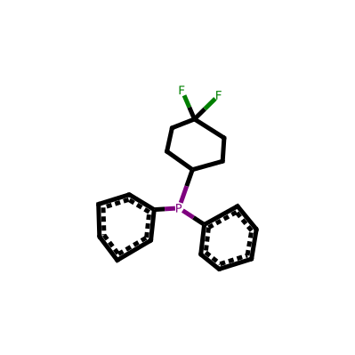 FC1(F)CCC(P(c2ccccc2)c2ccccc2)CC1